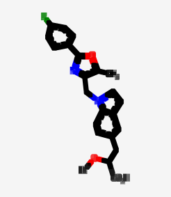 CCOC(Cc1ccc2c(ccn2Cc2nc(-c3ccc(F)cc3)oc2C)c1)C(=O)O